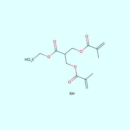 C=C(C)C(=O)OCC(COC(=O)C(=C)C)C(=O)OCS(=O)(=O)O.[KH]